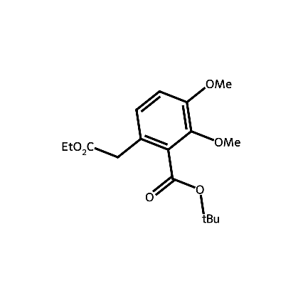 CCOC(=O)Cc1ccc(OC)c(OC)c1C(=O)OC(C)(C)C